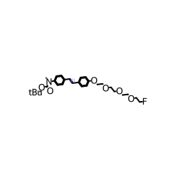 CN(C(=O)OC(C)(C)C)c1ccc(/C=C/c2ccc(OCCOCCOCCOCCF)cc2)cc1